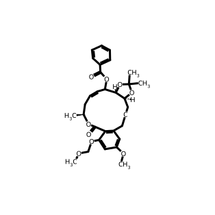 COCOc1cc(OC)cc2c1C(=O)O[C@@H](C)C/C=C\C(OC(=O)c1ccccc1)[C@H]1OC(C)(C)O[C@H]1CCC2